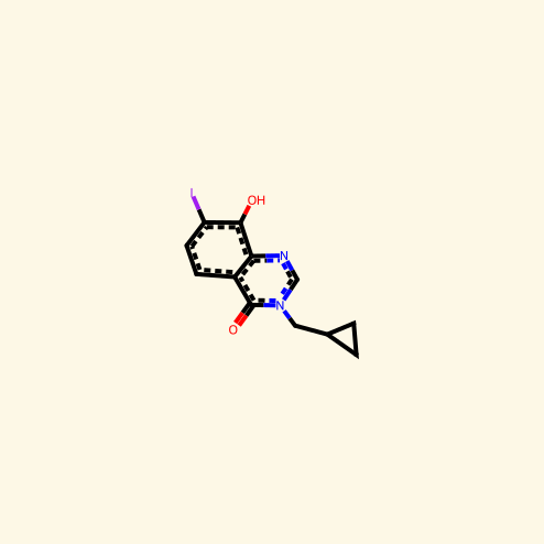 O=c1c2ccc(I)c(O)c2ncn1CC1CC1